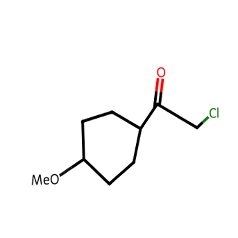 COC1CCC(C(=O)CCl)CC1